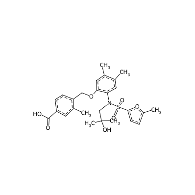 Cc1ccc(S(=O)(=O)N(CC(C)(C)O)c2cc(C)c(C)cc2OCc2ccc(C(=O)O)cc2C)o1